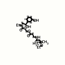 CCOC(C)(C)CC(=O)NCCC(=O)OCOC(=O)N(CC)CC(O)c1cccc(O)c1